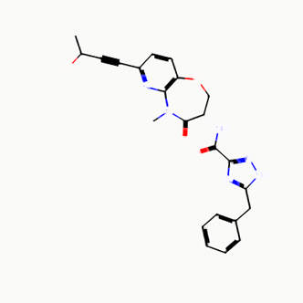 CC(O)C#Cc1ccc2c(n1)N(C)C(=O)[C@@H](NC(=O)c1n[nH]c(Cc3ccccc3)n1)CO2